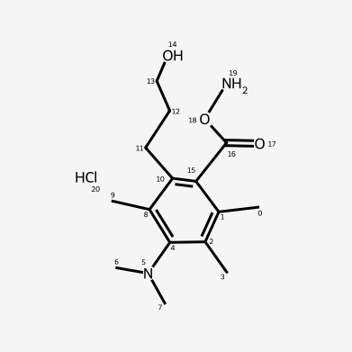 Cc1c(C)c(N(C)C)c(C)c(CCCO)c1C(=O)ON.Cl